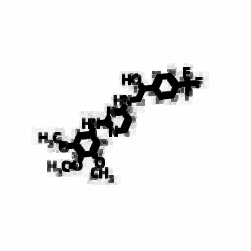 COc1cc(Nc2nccc(NCC(O)c3ccc(C(F)(F)F)cc3)n2)cc(OC)c1OC